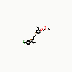 CCOC(=O)COc1ccc(SCCCc2sc3cc(C(F)(F)F)ccc3c2CC)cc1CC